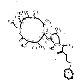 CC[C@H]1OC(=O)[C@H](C)[C@@H](O)[C@H](C)[C@@H](O[C@@H]2O[C@H](C)C[C@H](N(C)C(=O)CCOc3ccccc3)[C@H]2O)[C@](C)(O)C[C@@H](C)CN(C)[C@H](C)[C@@H](O)[C@]1(C)O